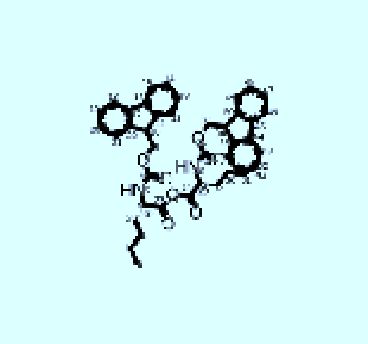 CCCC[C@H](NC(=O)OCC1c2ccccc2-c2ccccc21)C(=O)OC(=O)[C@H](CCCC)NC(=O)OCC1c2ccccc2-c2ccccc21